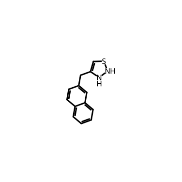 C1=C(Cc2ccc3ccccc3c2)NNS1